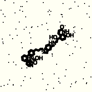 O=C(O)N(c1cc(CCCn2ccc3cc(CNC[C@H](O)c4ccc(O)c5[nH]c(=O)ccc45)ccc32)ccc1-c1ccccc1)[C@H]1CN2CCC1CC2